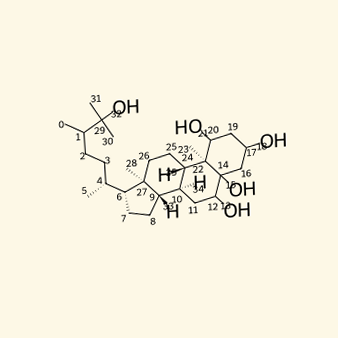 CC(CC[C@@H](C)[C@H]1CC[C@H]2[C@@H]3CC(O)C4(O)CC(O)CC(O)[C@]4(C)[C@H]3CC[C@]12C)C(C)(C)O